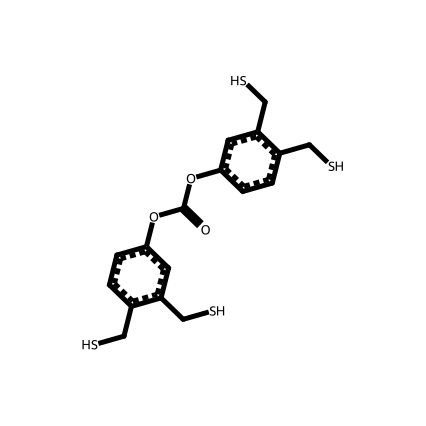 O=C(Oc1ccc(CS)c(CS)c1)Oc1ccc(CS)c(CS)c1